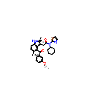 COc1ccc2[nH]c(C)c(CC(=O)N(c3nccs3)C3CCCCC3)c2c1C(=O)c1cccc(OC(F)(F)F)c1